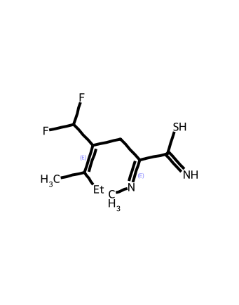 CC/C(C)=C(\C/C(=N\C)C(=N)S)C(F)F